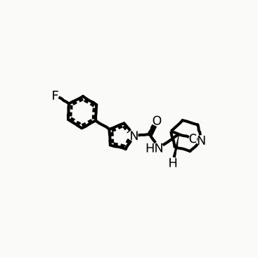 O=C(N[C@H]1CN2CCC1CC2)n1ccc(-c2ccc(F)cc2)c1